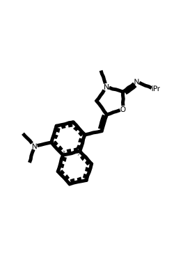 CC(C)N=C1O/C(=C/c2ccc(N(C)C)c3ccccc23)CN1C